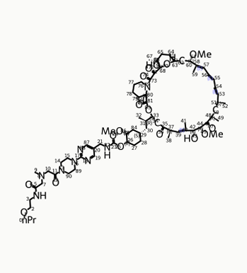 CCCOCCNC(=O)CN(C)CC(=O)N1CCN(c2ncc(CNC(=O)O[C@@H]3CC[C@@H](C[C@@H](C)[C@@H]4CC(=O)[C@H](C)/C=C(\C)[C@@H](O)[C@@H](OC)C(=O)[C@H](C)C[C@H](C)/C=C/C=C/C=C(\C)[C@@H](OC)C[C@@H]5CC[C@@H](C)[C@@](O)(O5)C(=O)C(=O)N5CCCC[C@H]5C(=O)O4)C[C@H]3OC)cn2)CC1